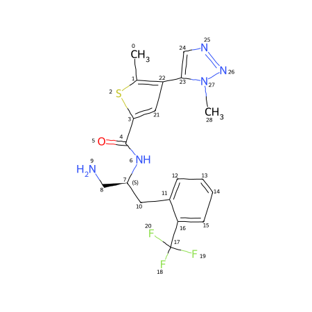 Cc1sc(C(=O)N[C@H](CN)Cc2ccccc2C(F)(F)F)cc1-c1cnnn1C